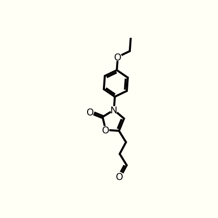 CCOc1ccc(-n2cc(CCC=O)oc2=O)cc1